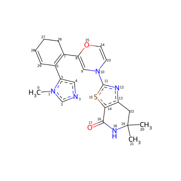 Cn1cncc1C1=C(C2=CN(c3nc4c(s3)C(=O)NC(C)(C)C4)C=CO2)CCC=C1